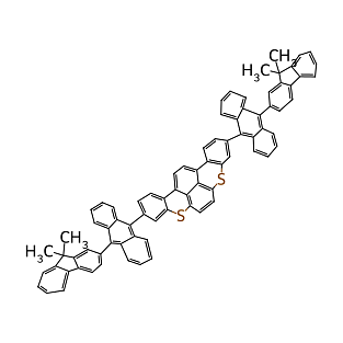 CC1(C)c2ccccc2-c2ccc(-c3c4ccccc4c(-c4ccc5c(c4)Sc4ccc6c7c(ccc-5c47)-c4ccc(-c5c7ccccc7c(-c7ccc8c(c7)C(C)(C)c7ccccc7-8)c7ccccc57)cc4S6)c4ccccc34)cc21